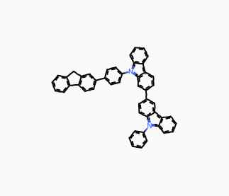 c1ccc(-n2c3ccccc3c3cc(-c4ccc5c6ccccc6n(-c6ccc(-c7ccc8c(c7)Cc7ccccc7-8)cc6)c5c4)ccc32)cc1